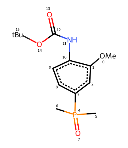 COc1cc(P(C)(C)=O)ccc1NC(=O)OC(C)(C)C